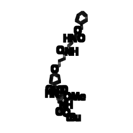 COC(=O)[C@@H](CNC(=O)OC(C)(C)C)NS(=O)(=O)c1ccc(OCCCC(=O)NCCNC(=O)OCc2ccccc2)cc1